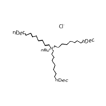 CCCCCCCCCCCCCCCCCC[N+](CCCC)(CCCCCCCCCCCCCCCCCC)CCCCCCCCCCCCCCCCCC.[Cl-]